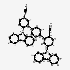 N#Cc1ccc(-n2c3ccccc3c3ccccc32)c(-c2ccc(-c3cc(-n4c5ccccc5c5ccccc54)ccc3C#N)cc2)c1